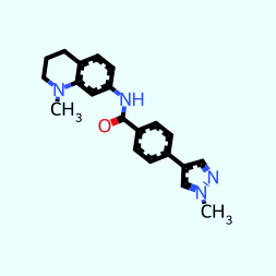 CN1CCCc2ccc(NC(=O)c3ccc(-c4cnn(C)c4)cc3)cc21